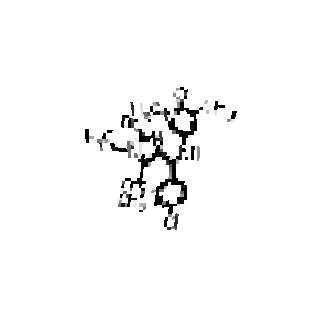 CCn1c(Br)nc(C(Nc2cc(C)c(=O)n(C)c2)c2ccc(Cl)cc2)c1C(=O)OC